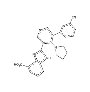 N#Cc1cccc(-c2cncc(-c3nc4c(C(=O)O)cccc4[nH]3)c2N2CCCC2)c1